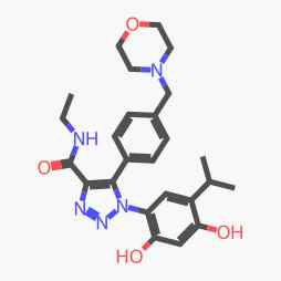 CCNC(=O)c1nnn(-c2cc(C(C)C)c(O)cc2O)c1-c1ccc(CN2CCOCC2)cc1